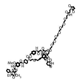 CC[C@@H]1C(=O)N(C)c2cnc(Nc3ccc(C(=O)N[C@H]4CC[C@@H](N(CCOCCC#Cc5cccc6c5CN(C5CCC(=O)NC5=O)C6=O)C(=O)OCc5ccc(NC(=O)CNC(=O)C(NC(=O)CCOCCOCCOCCOCCOCCOCCOCCOCCNC(=O)CCN6C(=O)C=CC6=O)C(C)C)cc5)CC4)cc3OC)nc2N1C1CCCC1